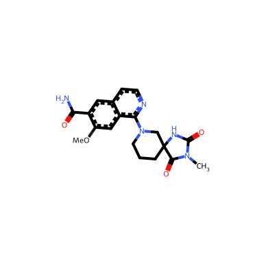 COc1cc2c(N3CCCC4(C3)NC(=O)N(C)C4=O)nccc2cc1C(N)=O